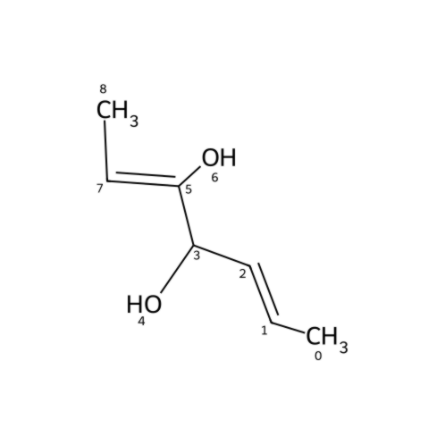 CC=CC(O)C(O)=CC